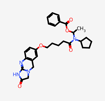 CC(OC(=O)c1ccccc1)N(C(=O)CCCCOc1ccc2c(c1)CN1CC(=O)NC1=N2)C1CCCC1